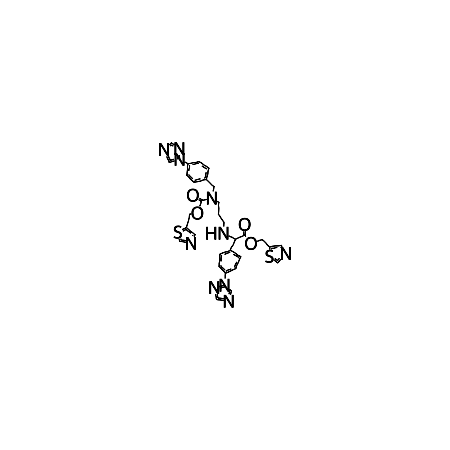 O=C(OCc1cncs1)C(NCCCN(Cc1ccc(-n2cncn2)cc1)C(=O)OCc1cncs1)c1ccc(-n2cncn2)cc1